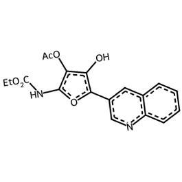 CCOC(=O)Nc1oc(-c2cnc3ccccc3c2)c(O)c1OC(C)=O